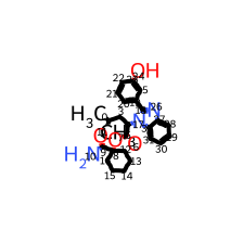 CC(C)CC(C(=O)OC1(C(N)=O)CCCCC1)n1c(-c2cccc(O)c2)nc2ccccc21